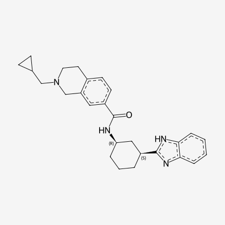 O=C(N[C@@H]1CCC[C@H](c2nc3ccccc3[nH]2)C1)c1ccc2c(c1)CN(CC1CC1)CC2